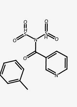 Cc1ccccc1.O=C(c1cccnc1)N([SH](=O)=O)[SH](=O)=O